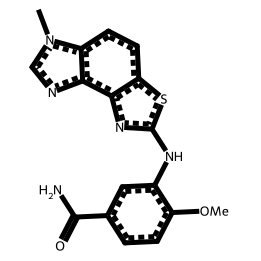 COc1ccc(C(N)=O)cc1Nc1nc2c(ccc3c2ncn3C)s1